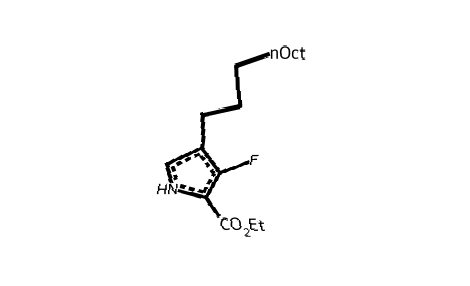 CCCCCCCCCCCc1c[nH]c(C(=O)OCC)c1F